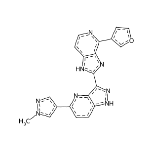 Cn1cc(-c2ccc3[nH]nc(-c4nc5c(-c6ccoc6)nccc5[nH]4)c3n2)cn1